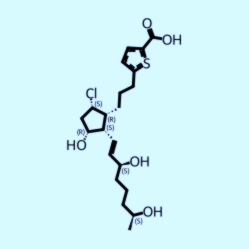 C[C@H](O)CCC[C@H](O)C=C[C@H]1[C@@H](CCCc2ccc(C(=O)O)s2)[C@@H](Cl)C[C@H]1O